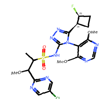 COc1ncnc(OC)c1-n1c(NS(=O)(=O)C(C)C(OC)c2ncc(Cl)cn2)nnc1[C@@H]1CC[C@@H]1F